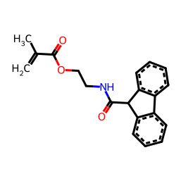 C=C(C)C(=O)OCCNC(=O)C1c2ccccc2-c2ccccc21